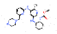 CC(C)(C)OC(=O)N[C@H]1CCCC[C@H]1Nc1cnc(C#N)c(Nc2cccc(CN3CCNCC3)n2)c1